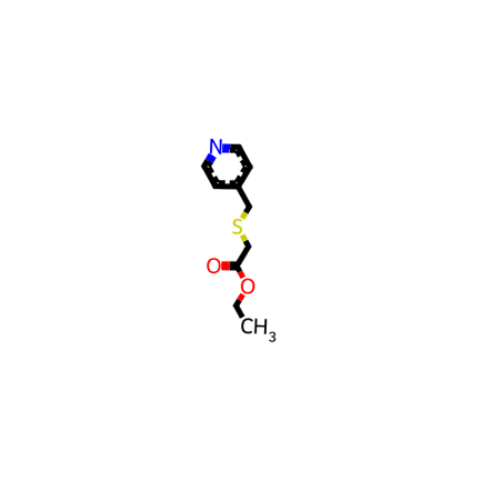 CCOC(=O)CSCc1ccncc1